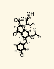 CCC(CCO)n1c(C(=O)O)cc(=O)c2cc(Cc3cccc(Cl)c3F)c(OC(C)C)cc21